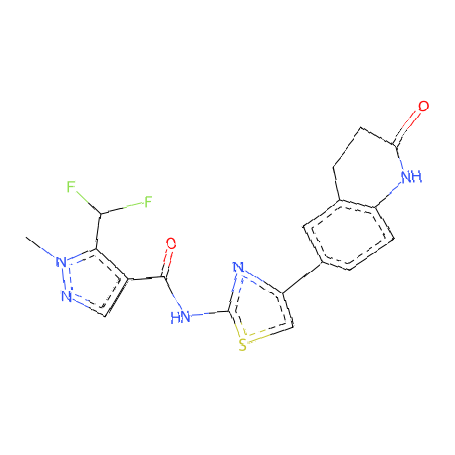 Cn1ncc(C(=O)Nc2nc(-c3ccc4c(c3)CCC(=O)N4)cs2)c1C(F)F